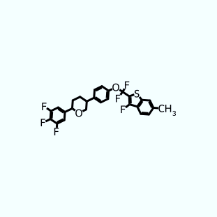 Cc1ccc2c(F)c(C(F)(F)Oc3ccc(C4CCC(c5cc(F)c(F)c(F)c5)OC4)cc3)sc2c1